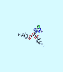 Cc1ccc(C(=O)OC[C@H]2O[C@H](n3cnc4c(Cl)nc(I)nc43)C[C@@H]2OC(=O)c2ccc(C)cc2)cc1